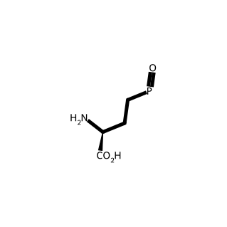 N[C@@H](CCP=O)C(=O)O